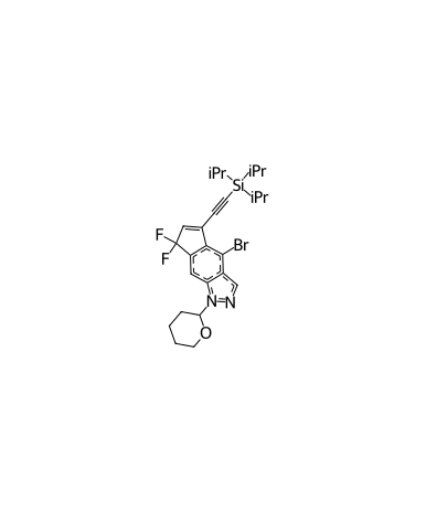 CC(C)[Si](C#CC1=CC(F)(F)c2cc3c(cnn3C3CCCCO3)c(Br)c21)(C(C)C)C(C)C